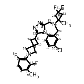 Cc1ccc(F)c(N2CC3(CC(c4nnc5n4-c4ccc(Cl)cc4CN(C4(C)CC(F)(F)C4)C5)C3)C2)c1F